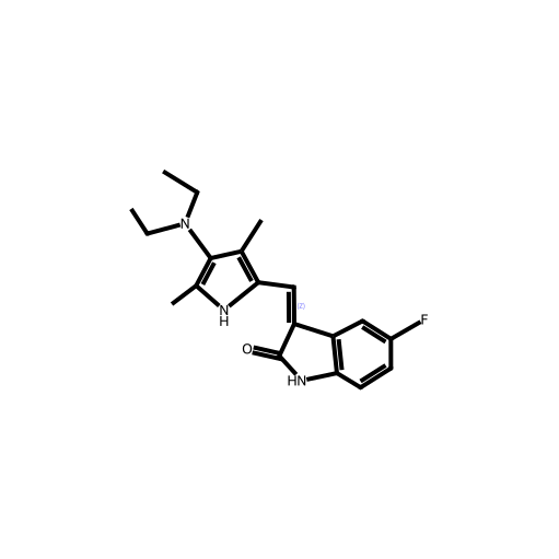 CCN(CC)c1c(C)[nH]c(/C=C2\C(=O)Nc3ccc(F)cc32)c1C